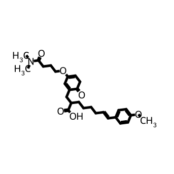 COc1ccc(/C=C/CCCCC(CC2=CC(OCCCC(=O)N(C)C)=CCC2=O)C(=O)O)cc1